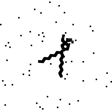 CCCCCCCC(CCCCCCC)N1CC[C@](N)(CF)C1